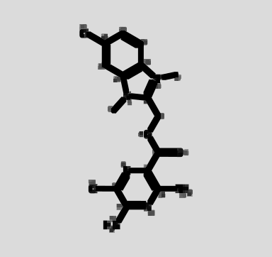 Cn1c(COC(=O)c2nc(Cl)c(N)nc2N)[n+](C)c2ccc(Cl)cc21